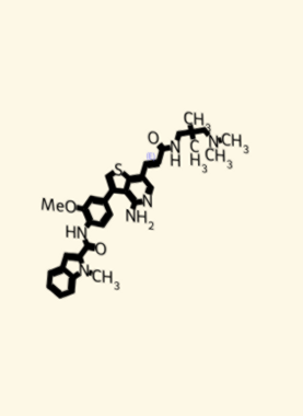 COc1cc(-c2csc3c(/C=C/C(=O)NCC(C)(C)CN(C)C)cnc(N)c23)ccc1NC(=O)c1cc2ccccc2n1C